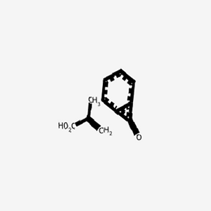 C=C(C)C(=O)O.O=c1c2ccccc12